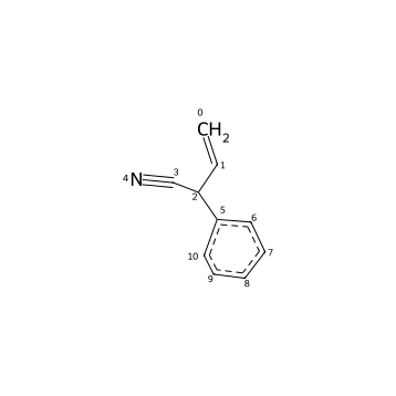 C=CC(C#N)c1ccccc1